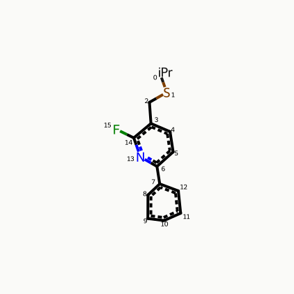 CC(C)SCc1ccc(-c2ccccc2)nc1F